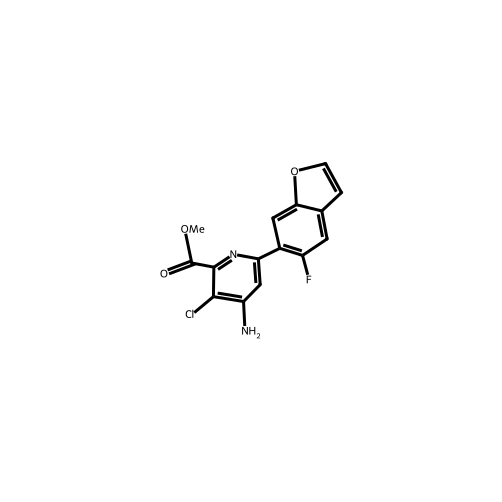 COC(=O)c1nc(-c2cc3occc3cc2F)cc(N)c1Cl